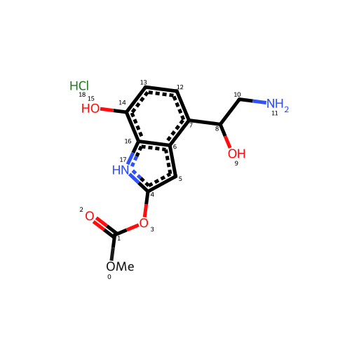 COC(=O)Oc1cc2c(C(O)CN)ccc(O)c2[nH]1.Cl